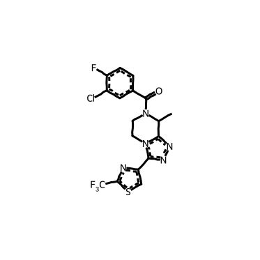 CC1c2nnc(-c3csc(C(F)(F)F)n3)n2CCN1C(=O)c1ccc(F)c(Cl)c1